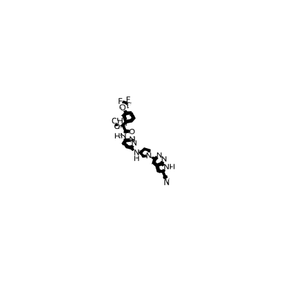 CO[C@@H](C(=O)Nc1ccc(N[C@@H]2CCN(c3cc4cc(C#N)[nH]c4nn3)C2)nn1)c1cccc(OC(F)(F)F)c1